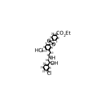 CCOC(=O)c1ccc(S(=O)(=O)c2cccc(CCNC[C@@H](O)c3cccc(Cl)c3)c2)cc1.Cl